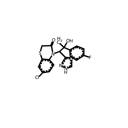 CC(O)(c1ccc(F)cc1)C(c1nc[nH]n1)N1C(=O)CSc2cc(Cl)ccc21